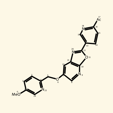 COc1ccc(COc2cnc3oc(-c4ccc(C(C)=O)nc4)nc3c2)nc1